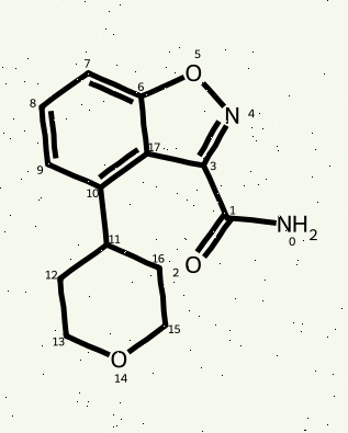 NC(=O)c1noc2cccc(C3CCOCC3)c12